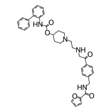 O=C(Nc1ccccc1-c1ccccc1)OC1CCN(CCNCC(=O)c2ccc(CNC(=O)c3ccco3)cc2)CC1